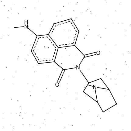 CNc1ccc2c3c(cccc13)C(=O)N(C1CC3CCC(C1)N3C)C2=O